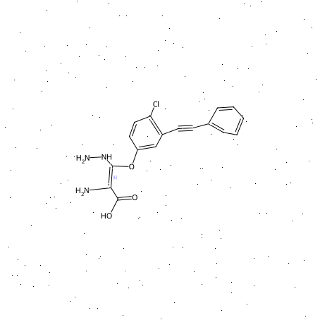 NN/C(Oc1ccc(Cl)c(C#Cc2ccccc2)c1)=C(\N)C(=O)O